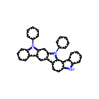 c1ccc(-n2c3ccccc3c3cc4c5ccc6[nH]c7ccccc7c6c5n(-c5ccccc5)c4cc32)cc1